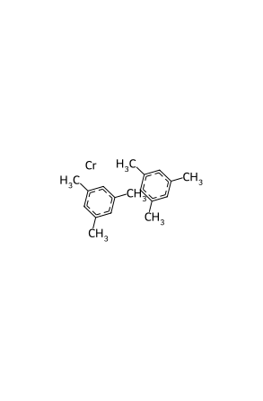 Cc1cc(C)cc(C)c1.Cc1cc(C)cc(C)c1.[Cr]